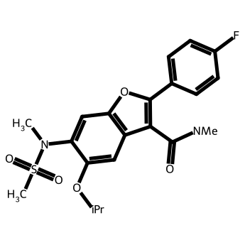 CNC(=O)c1c(-c2ccc(F)cc2)oc2cc(N(C)S(C)(=O)=O)c(OC(C)C)cc12